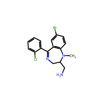 CN1c2ccc(Br)cc2C(c2ccccc2Cl)=NCC1CN